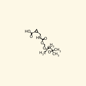 CC(C)(C)OP(C)(=O)OCOC(=O)NC[C@@H]1C[C@@H]1C(=O)O